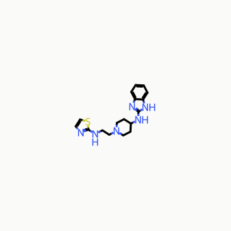 c1ccc2[nH]c(NC3CCN(CCNc4nccs4)CC3)nc2c1